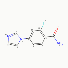 NC(=O)c1ccc(-n2ccnc2)cc1F